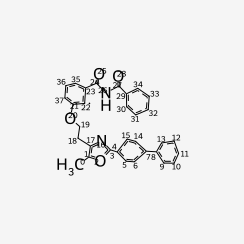 Cc1oc(-c2ccc(-c3ccccc3)cc2)nc1CCOc1[c]c(C(=O)NC(=O)c2ccccc2)ccc1